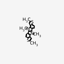 Cc1cc2c(ccc3c2n(C)c2c4ccc5sc(C)cc5c4n(C)c32)s1